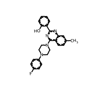 Cc1ccc2c(N3CCN(c4ccc(F)cc4)CC3)nc(-c3ccccc3O)nc2c1